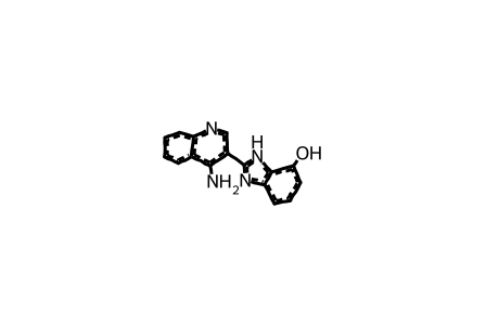 Nc1c(-c2nc3cccc(O)c3[nH]2)cnc2ccccc12